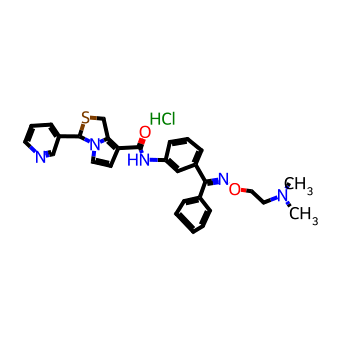 CN(C)CCON=C(c1ccccc1)c1cccc(NC(=O)c2ccn3c2CSC3c2cccnc2)c1.Cl